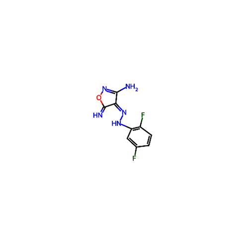 N=C1ON=C(N)/C1=N/Nc1cc(F)ccc1F